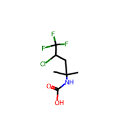 CC(C)(CC(Cl)C(F)(F)F)NC(=O)O